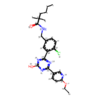 CCCCC(C)(C)C(=O)NCc1ccc(Cl)c(-c2nc(O)nc(-c3ccc(OCC)nc3)n2)c1